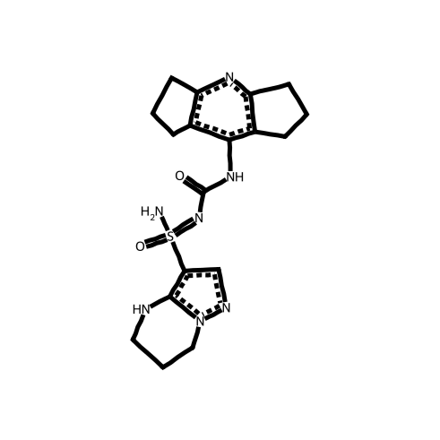 NS(=O)(=NC(=O)Nc1c2c(nc3c1CCC3)CCC2)c1cnn2c1NCCC2